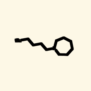 CC(C)(C)CCCCN1CCCCCC1